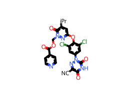 CC(C)c1cc(Oc2c(Cl)cc(-n3nc(C#N)c(=O)[nH]c3=O)cc2Cl)nn(COC(=O)c2ccncc2)c1=O